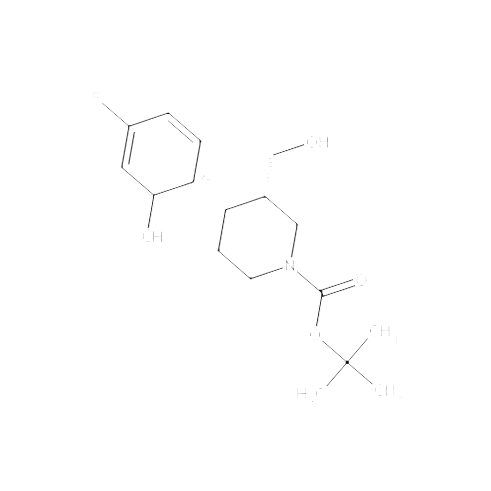 CC1C=C(F)C=C[C@@H]1C1CCN(C(=O)OC(C)(C)C)C[C@H]1CO